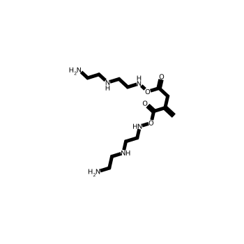 C=C(CC(=O)ONCCNCCN)C(=O)ONCCNCCN